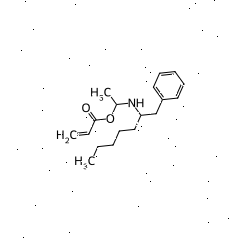 C=CC(=O)OC(C)NC(CCCCC)Cc1ccccc1